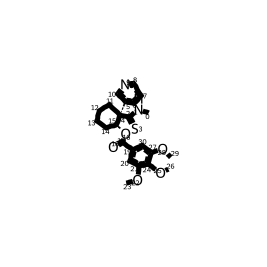 CNC(=S)[C@]1(c2cccnc2)CCCC[C@H]1OC(=O)c1cc(OC)c(OC)c(OC)c1